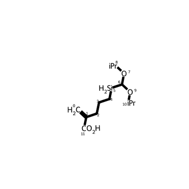 C=C(CCC[SiH2]C(OC(C)C)OC(C)C)C(=O)O